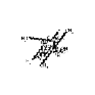 CCCCCCCCCCN(CC(=O)N(CCCCCCCCCC)CC(=O)N(CC(=O)N(CCCCCCCCCC)CC(=O)N(CCCCCCCCCC)CC(=O)N(CC(N)=O)CC(CC)CCCC)CC(CC)CCCC)C(=O)CNC(CO)CO